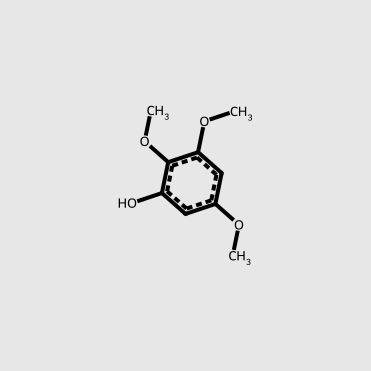 COc1cc(O)c(OC)c(OC)c1